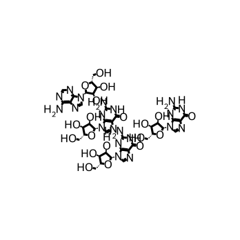 Nc1nc2c(ncn2[C@@H]2O[C@H](CO)[C@@H](O)[C@H]2O)c(=O)[nH]1.Nc1nc2c(ncn2[C@@H]2O[C@H](CO)[C@@H](O)[C@H]2O)c(=O)[nH]1.Nc1nc2c(ncn2[C@@H]2O[C@H](CO)[C@@H](O)[C@H]2O)c(=O)[nH]1.Nc1ncnc2c1ncn2[C@@H]1O[C@H](CO)[C@@H](O)[C@H]1O